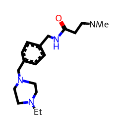 CCN1CCN(Cc2ccc(CNC(=O)CCNC)cc2)CC1